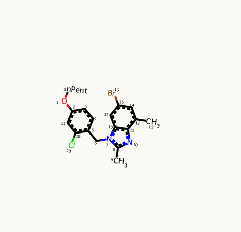 CCCCCOc1ccc(Cn2c(C)nc3c(C)cc(Br)cc32)c(Cl)c1